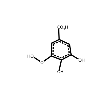 O=C(O)c1cc(O)c(O)c(OO)c1